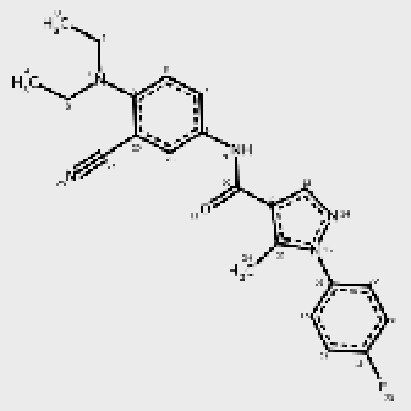 CCN(CC)c1ccc(NC(=O)c2cnn(-c3ccc(F)cc3)c2C)cc1C#N